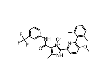 COc1ccc(-c2[nH]c(C)c(C(=O)Nc3cccc(C(F)(F)F)c3)[n+]2[O-])nc1-c1c(C)cccc1C